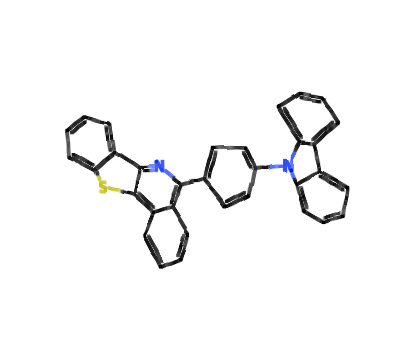 c1ccc2c(c1)sc1c3ccccc3c(-c3ccc(-n4c5ccccc5c5ccccc54)cc3)nc21